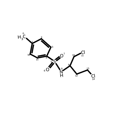 Cc1ccc(S(=O)(=O)NC(CCl)CCCl)cc1